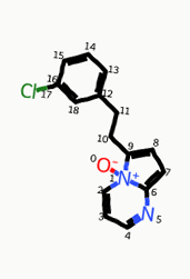 [O-][N+]12C=CC=NC1=CC=C2CCc1cccc(Cl)c1